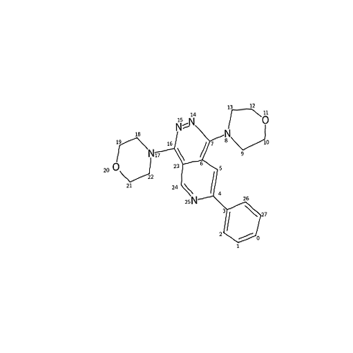 c1ccc(-c2cc3c(N4CCOCC4)nnc(N4CCOCC4)c3cn2)cc1